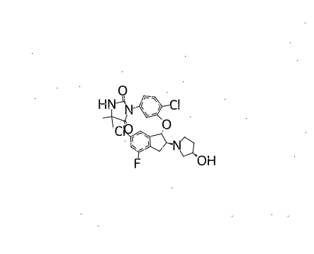 CC1(C)NC(=O)N(c2ccc(Cl)c(O[C@H]3c4cc(Cl)cc(F)c4C[C@@H]3N3CC[C@@H](O)C3)c2)C1=O